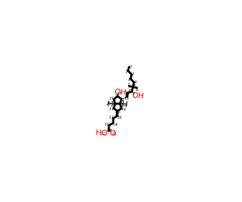 CCCCCC(C)(C)[C@@H](O)/C=C/[C@@H]1[C@H]2C/C(=C/CCCC(=O)O)C[C@@H]2C[C@H]1O